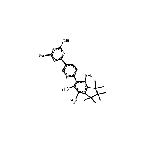 Bc1c(B)c2c(c(B)c1-c1ccc(-c3nc(C(C)(C)C)nc(C(C)(C)C)n3)cn1)C(C)(C)C(C)(C)C2(C)C